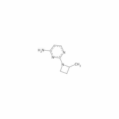 CC1CCN1c1nccc(N)n1